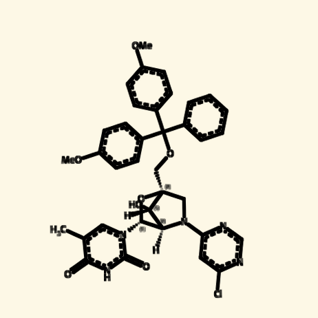 COc1ccc(C(OC[C@@]23CN(c4cc(Cl)ncn4)[C@@H]([C@H](n4cc(C)c(=O)[nH]c4=O)O2)[C@@H]3O)(c2ccccc2)c2ccc(OC)cc2)cc1